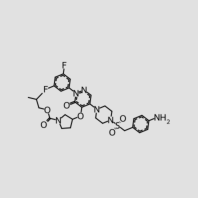 CC(C)COC(=O)N1CCC(Oc2c(N3CCN(S(=O)(=O)Cc4ccc(N)cc4)CC3)cnn(-c3cc(F)cc(F)c3)c2=O)C1